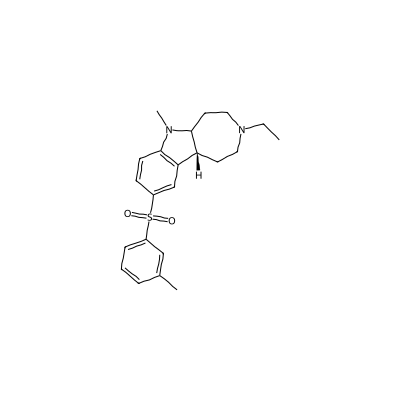 CCN1CCC2[C@H](CC1)c1cc(S(=O)(=O)c3cccc(C)c3)ccc1N2C